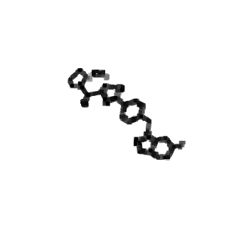 C[C@H]1CCCN1C(=O)c1coc(-c2ccc(Cn3ncc4ccc(F)cc43)cc2)n1